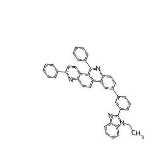 CCn1c(-c2cccc(-c3ccc4nc(-c5ccccc5)c5c6ccc(-c7ccccc7)nc6ccc5c4c3)c2)nc2ccccc21